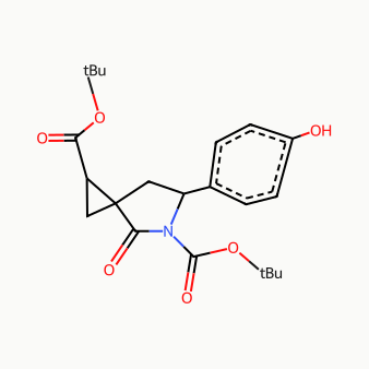 CC(C)(C)OC(=O)C1CC12CC(c1ccc(O)cc1)N(C(=O)OC(C)(C)C)C2=O